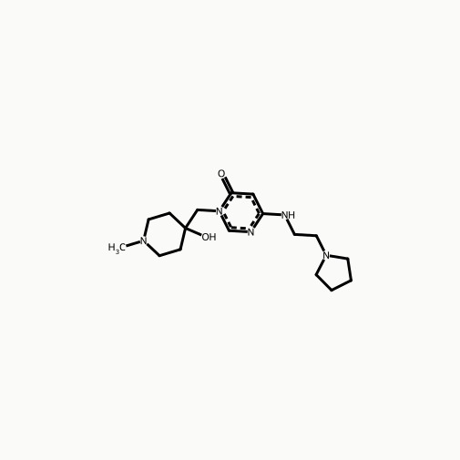 CN1CCC(O)(Cn2cnc(NCCN3CCCC3)cc2=O)CC1